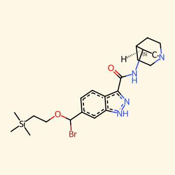 C[Si](C)(C)CCOC(Br)c1ccc2c(C(=O)N[C@@H]3CN4CCC3CC4)n[nH]c2c1